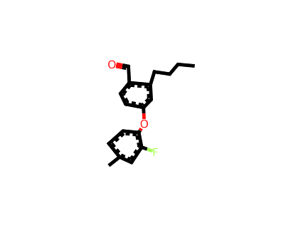 CCCCc1cc(Oc2ccc(C)cc2F)ccc1C=O